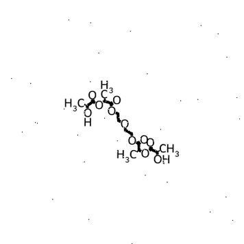 C[C@H](O)C(=O)O[C@@H](C)C(=O)OCCOCCOC(=O)[C@H](C)OC(=O)[C@H](C)O